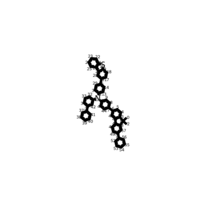 CC1(C)c2ccc(-c3ccc(N(c4ccc(-c5ccc6sc7ccccc7c6c5)cc4)c4cccc(-c5ccccc5)c4)cc3)cc2-c2ccc(-c3ccccc3)cc21